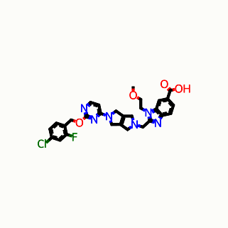 COCCn1c(CN2CC3=C(C2)CN(c2ccnc(OCc4ccc(Cl)cc4F)n2)C3)nc2ccc(C(=O)O)cc21